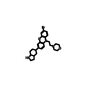 Brc1ccc2c(c1)Oc1cc(C3CCC4NCCC4C3)ccc1N2CCN1CCOCC1